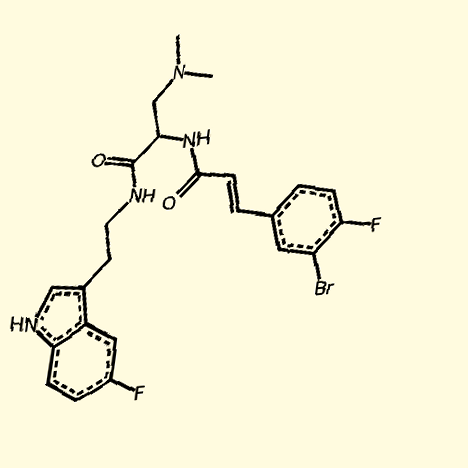 CN(C)CC(NC(=O)/C=C/c1ccc(F)c(Br)c1)C(=O)NCCc1c[nH]c2ccc(F)cc12